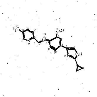 COc1cc(-c2c[nH]c(C3CC3)n2)ccc1OCc1ccc(C(F)(F)F)cn1